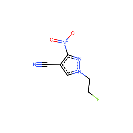 N#Cc1cn(CCF)nc1[N+](=O)[O-]